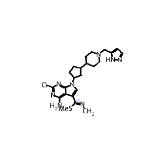 C/N=C(\SC)c1cn(C2CCC(C3CCN(Cc4ccn[nH]4)CC3)C2)c2nc(Cl)nc(N)c12